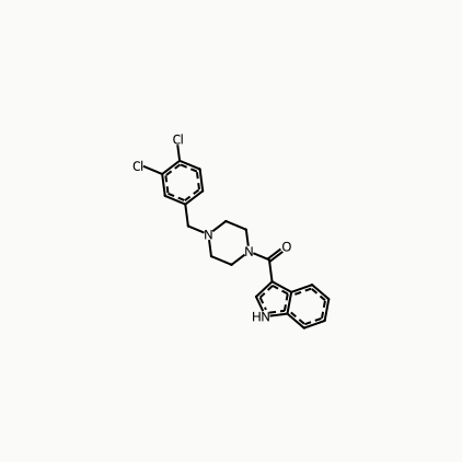 O=C(c1c[nH]c2ccccc12)N1CCN(Cc2ccc(Cl)c(Cl)c2)CC1